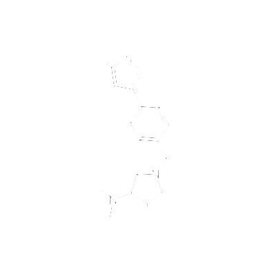 CN(C)C1CCN(Cc2ccc(-c3ccsc3)cc2)C1